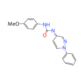 COc1ccc(NC(=O)/N=c2\ccn(-c3ccccc3)nc2)cc1